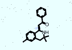 Cc1ccc2c(c1)CC(C)(C)N/C2=C\C(=O)c1ccccc1